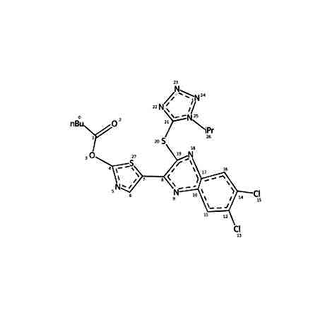 CCCCC(=O)Oc1ncc(-c2nc3cc(Cl)c(Cl)cc3nc2Sc2nnnn2C(C)C)s1